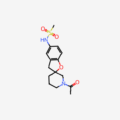 CC(=O)N1CCCC2(Cc3cc(NS(C)(=O)=O)ccc3O2)C1